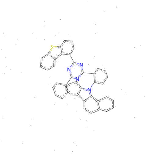 c1ccc(-c2nc(-c3ccccc3-n3c4ccccc4c4ccc5ccccc5c43)nc(-c3cccc4sc5ccccc5c34)n2)cc1